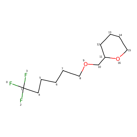 FC(F)(F)CCCCCOCC1CCCCO1